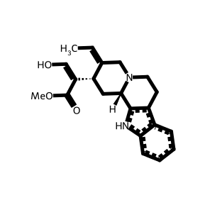 C/C=C1/CN2CCc3c([nH]c4ccccc34)[C@@H]2C[C@@H]1/C(=C/O)C(=O)OC